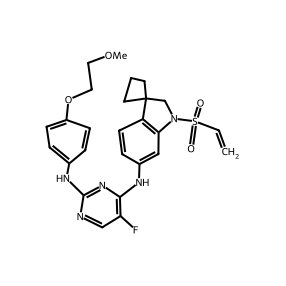 C=CS(=O)(=O)N1CC2(CCC2)c2ccc(Nc3nc(Nc4ccc(OCCOC)cc4)ncc3F)cc21